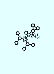 CC1(C)c2cc3c4ccccc4c4ccccc4c3cc2-c2c1cc(-c1nc(-c3cc(-c4ccccc4)cc(-c4ccccc4)c3)nc(-c3cc(-c4ccccc4)cc(-c4ccccc4)c3)n1)c1ccccc21